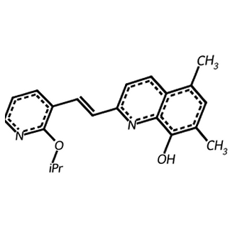 Cc1cc(C)c2ccc(C=Cc3cccnc3OC(C)C)nc2c1O